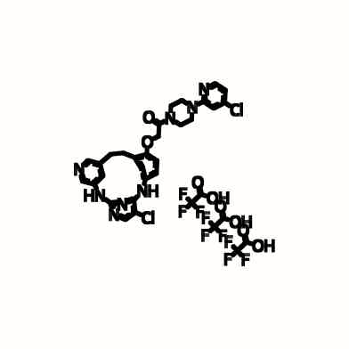 O=C(COc1ccc2cc1CCc1cncc(c1)Nc1ncc(Cl)c(n1)N2)N1CCN(c2cc(Cl)ccn2)CC1.O=C(O)C(F)(F)F.O=C(O)C(F)(F)F.O=C(O)C(F)(F)F